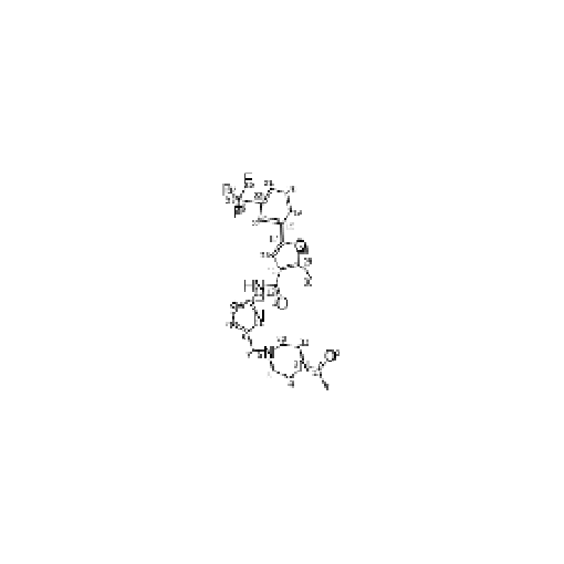 CC(=O)N1CCN(Cc2csc(NC(=O)c3cc(-c4cccc(C(F)(F)F)c4)oc3C)n2)CC1